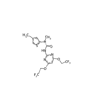 Cc1csc(N(C)C(=O)Nc2nc(OCC(F)(F)F)cc(OCC(F)(F)F)n2)c1